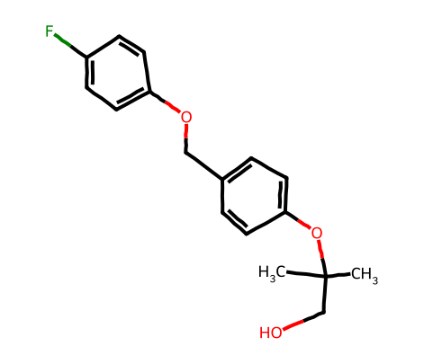 CC(C)(CO)Oc1ccc(COc2ccc(F)cc2)cc1